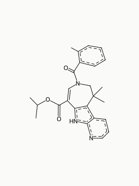 Cc1ccccc1C(=O)N1C=C(C(=O)OC(C)C)c2[nH]c3ncccc3c2C(C)(C)C1